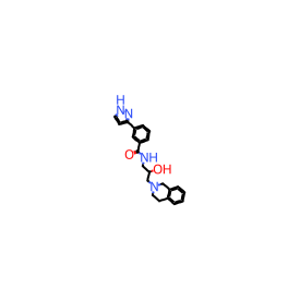 O=C(NCC(O)CN1CCc2ccccc2C1)c1cccc(-c2cc[nH]n2)c1